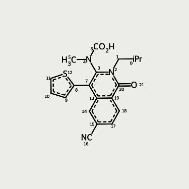 CC(C)Cn1c(N(C)C(=O)O)c(-c2cccs2)c2cc(C#N)ccc2c1=O